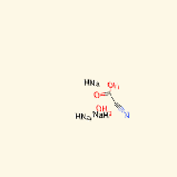 N#CC(=O)O.O.[NaH].[NaH].[NaH]